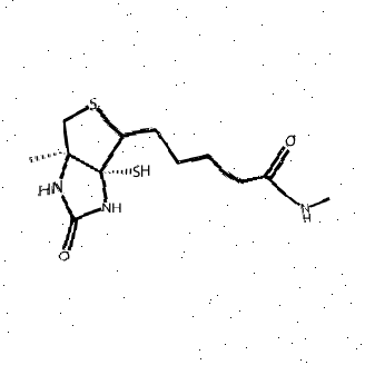 CNC(=O)CCCCC1SC[C@]2(C)NC(=O)N[C@]12S